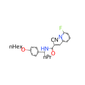 CCCCCCOc1ccc(C(CCC)NC(=O)/C(C#N)=C/c2cccc(F)n2)cc1